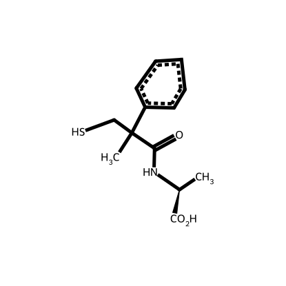 C[C@H](NC(=O)C(C)(CS)c1ccccc1)C(=O)O